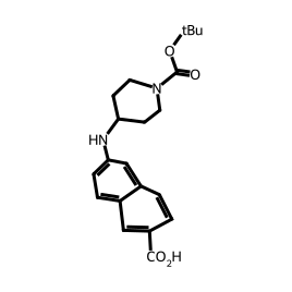 CC(C)(C)OC(=O)N1CCC(Nc2ccc3cc(C(=O)O)ccc3c2)CC1